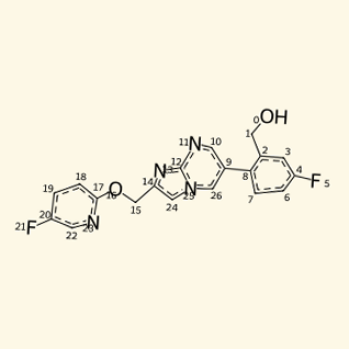 OCc1cc(F)ccc1-c1cnc2nc(COc3ccc(F)cn3)cn2c1